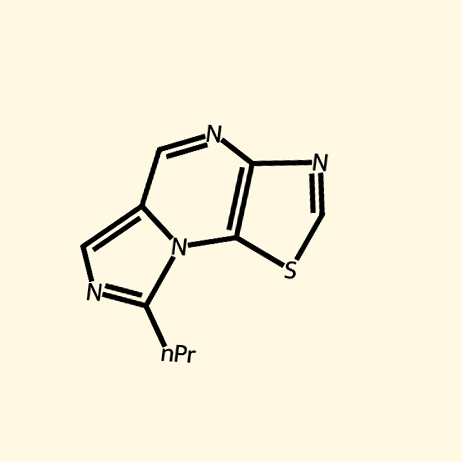 CCCc1ncc2cnc3ncsc3n12